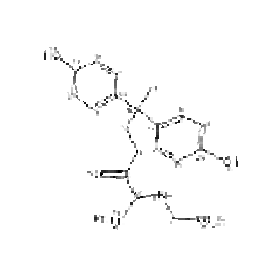 CCOC(=O)CNC(C(=O)CCC(C)(c1ccc(O)cc1)c1ccc(O)cc1)C(=O)OCC